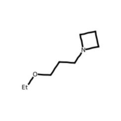 CCOCCCN1CCC1